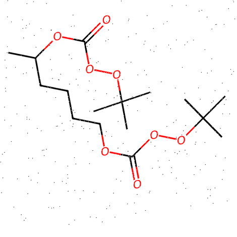 CC(CCCCOC(=O)OOC(C)(C)C)OC(=O)OOC(C)(C)C